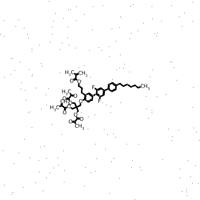 C=C(C)C(=O)OCCCc1cc(-c2c(F)cc(-c3ccc(CCCCCCC)cc3)cc2F)ccc1OCC(COC(=O)C(=C)C)(COC(=O)C(C)=O)COC(=O)C(C)=O